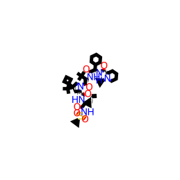 C=C[C@@H]1C[C@]1(NC(=O)[C@@H]1C[C@@]2(CN1C(=O)[C@@H](NC(=O)[C@@H](NC(=O)[C@@H]1CCCCN1C1CC1)C1CCCCC1)C(C)(C)C)C(C)(C)C21CCC1)C(=O)NS(=O)(=O)C1CC1